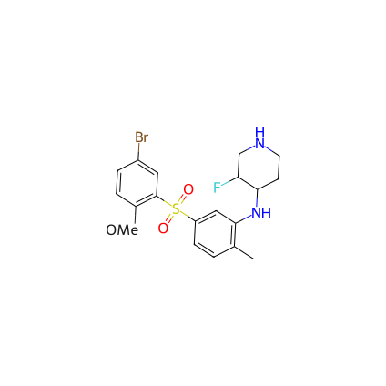 COc1ccc(Br)cc1S(=O)(=O)c1ccc(C)c(NC2CCNCC2F)c1